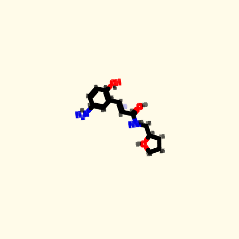 Nc1ccc(O)c(/C=C/C(=O)NCC2CCCO2)c1